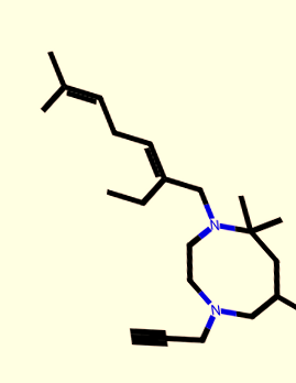 C#CCN1CCN(C/C(=C/CC=C(C)C)CC)C(C)(C)CC(C)C1